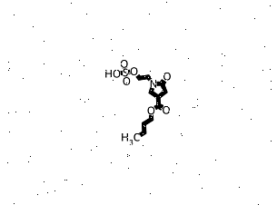 CCCCOC(=O)C1CC(=O)N(CCOS(=O)(=O)O)C1